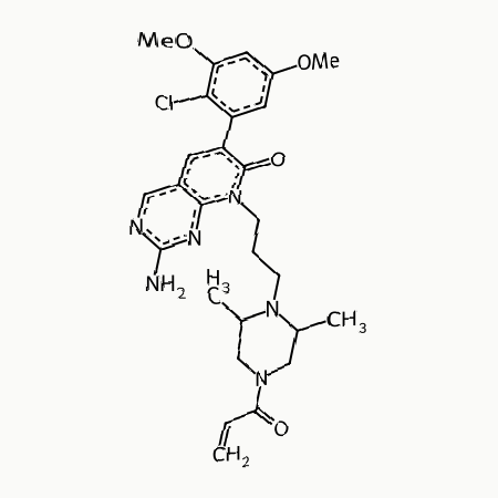 C=CC(=O)N1CC(C)N(CCCn2c(=O)c(-c3cc(OC)cc(OC)c3Cl)cc3cnc(N)nc32)C(C)C1